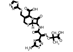 CC(C)(ON=C(C(=O)NC1C(=O)N2C(C(=O)O)=C(CSc3nncs3)CS[C@@H]12)c1nsc(N)n1)C(=O)O